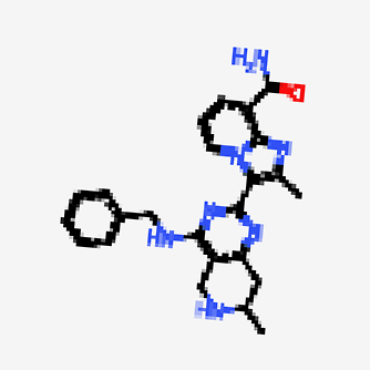 Cc1nc2c(C(N)=O)cccn2c1-c1nc2c(c(NCc3ccccc3)n1)CNC(C)C2